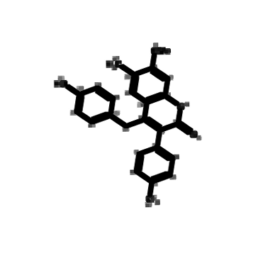 COc1cc2oc(=O)c(-c3ccc(C(F)(F)F)cc3)c(Cc3ccc(O)cc3)c2cc1C